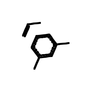 C=CC.Cc1cccc(C)c1